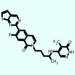 CC(CCCn1ccc2cc(-c3ncc4ccsc4n3)c(F)cc2c1=O)Nc1cn[nH]c(=O)c1C(F)(F)F